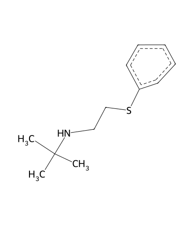 CC(C)(C)NCCSc1ccccc1